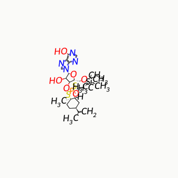 C=C(C)[C@H]1CC[C@@]2(C)SP(=S)(O[C@H]3[C@@H](O)[C@H](n4cnc5c(O)ncnc54)O[C@@H]3CO[Si](C)(C)C(C)(C)C)O[C@@H]2C1